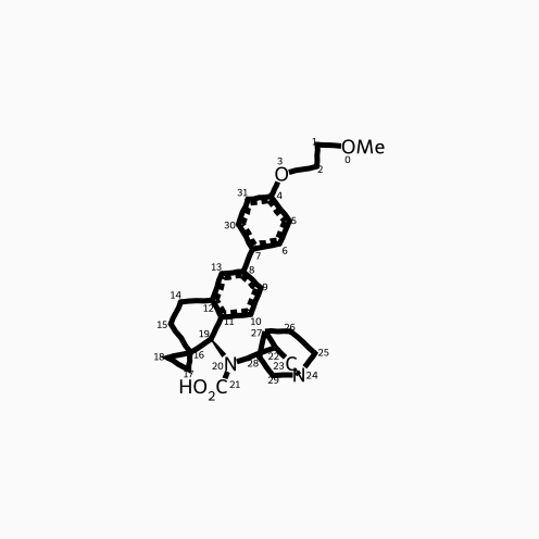 COCCOc1ccc(-c2ccc3c(c2)CCC2(CC2)[C@@H]3N(C(=O)O)C2CN3CCC2CC3)cc1